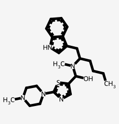 CCCCC(Cc1c[nH]c2ccccc12)N(C)C(O)c1cnc(N2CCN(C)CC2)s1